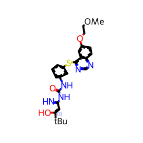 COCCOc1ccc2ncnc(Sc3cccc(NC(=O)NC(=N)/C=C(\O)C(C)(C)C)c3)c2c1